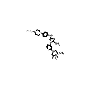 CCOC(=O)N1CCN(c2ccc(Nc3nc(N)n(-c4ccnc(N5C[C@@H](C)N(C(C)=O)[C@@H](C)C5)c4)n3)cc2)CC1